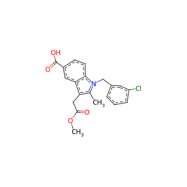 COC(=O)Cc1c(C)n(Cc2cccc(Cl)c2)c2ccc(C(=O)O)cc12